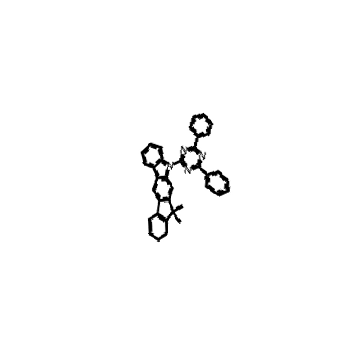 CC1(C)C2=C(C=CCC2)c2cc3c4ccccc4n(-c4nc(-c5ccccc5)nc(-c5ccccc5)n4)c3cc21